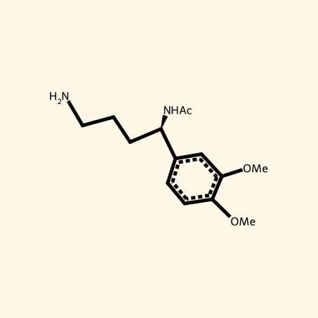 COc1ccc([C@@H](CCCN)NC(C)=O)cc1OC